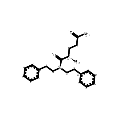 NC(=O)CC[C@H](N)C(=O)N(CCc1ccccc1)CCc1ccccc1